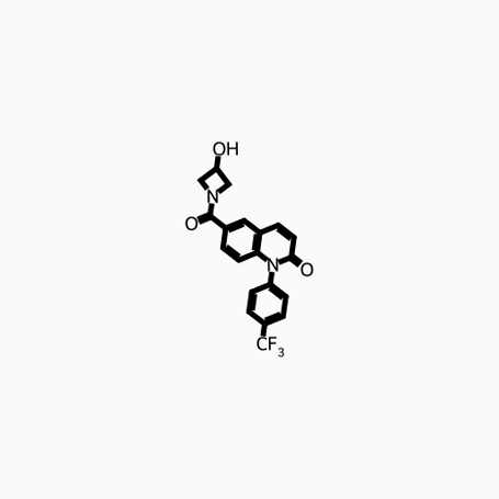 O=C(c1ccc2c(ccc(=O)n2-c2ccc(C(F)(F)F)cc2)c1)N1CC(O)C1